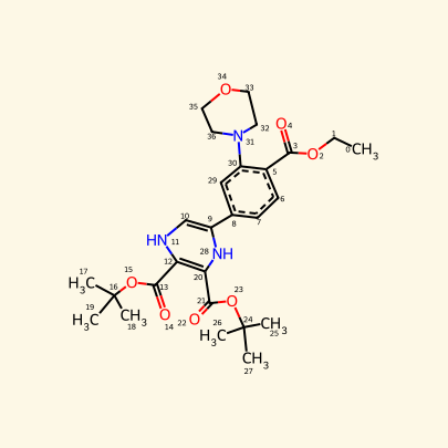 CCOC(=O)c1ccc(C2=CNC(C(=O)OC(C)(C)C)=C(C(=O)OC(C)(C)C)N2)cc1N1CCOCC1